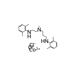 Cc1cccc(C)c1NCCCN(C)CCNc1c(C)cccc1C.[Cl-].[Cl-].[Co+2]